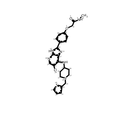 CNC(=O)COc1ccc(-c2nc3c(NC4CCN(Cc5cccs5)CC4)c(Cl)cnc3[nH]2)cc1